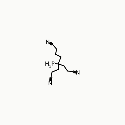 N#CCCCC(P)(CCC#N)CCC#N